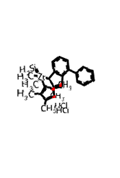 CC1=CC(C)[C]([Zr]([CH3])([CH3])(=[SiH2])[CH]2C(C)=Cc3c(-c4ccccc4)cccc32)=C1C.Cl.Cl